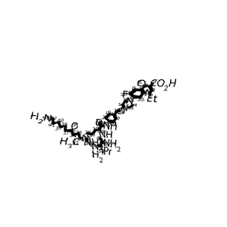 CCn1cc(C(=O)O)c(=O)c2cc(F)c(N3CCN(OCc4ccc(NC(=O)[C@H](CCCN(N)C(C)CCC(=O)CCCCCCN)N/C=C(\N)[C@@H](N)C(C)C)cc4)CC3)cc21